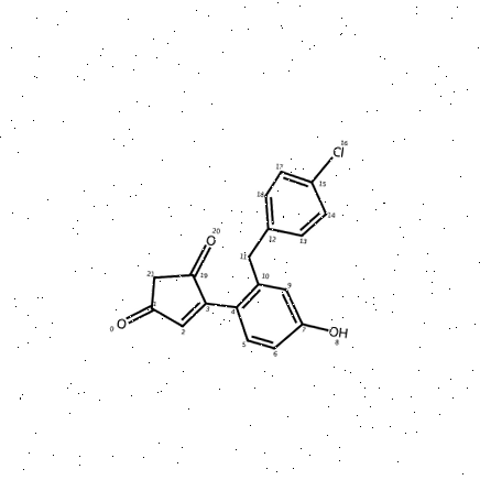 O=C1C=C(c2ccc(O)cc2Cc2ccc(Cl)cc2)C(=O)C1